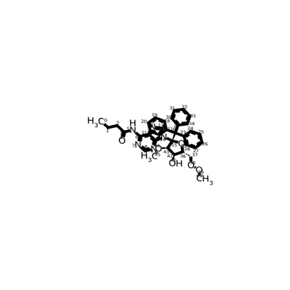 CCCC(=O)Nc1ncnc2c1ncn2[C@]1(C(c2ccccc2)(c2ccccc2)c2ccccc2)O[C@H](COOC)[C@@H](O)[C@H]1OC